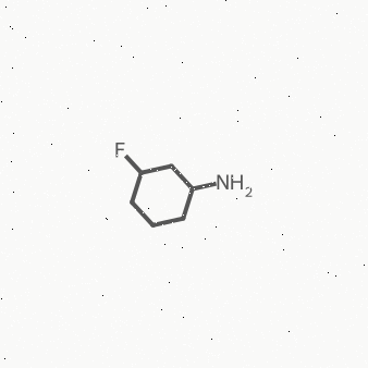 NC1CCCC(F)C1